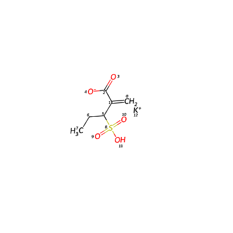 C=C(C(=O)[O-])C(CC)S(=O)(=O)O.[K+]